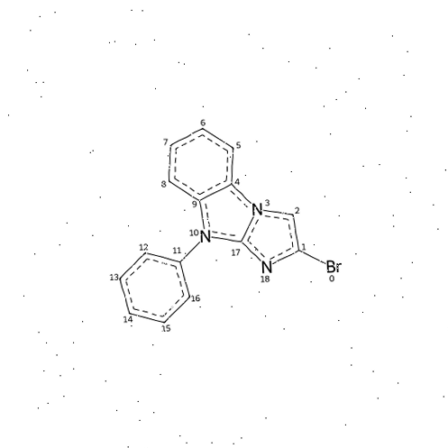 Brc1cn2c3ccccc3n(-c3ccccc3)c2n1